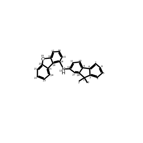 CC1(C)c2ccccc2-c2ccc(Nc3cccc4oc5ccccc5c34)cc21